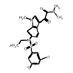 CN(C)C(=O)C(=O)c1cn(C)c2cc(N(CC(=O)O)S(=O)(=O)c3cc(Cl)cc(Cl)c3)ccc12